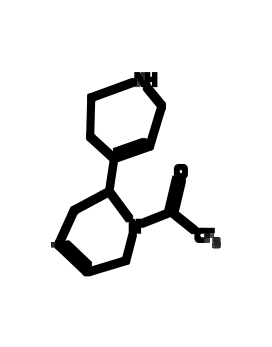 O=C(N1CC=[C]CC1C1=CCNCC1)C(F)(F)F